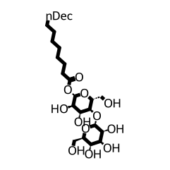 CCCCCCCCCCCCCCCCCC(=O)O[C@@H]1O[C@H](CO)[C@@H](O[C@H]2O[C@H](CO)[C@@H](O)[C@H](O)[C@H]2O)[C@H](O)[C@H]1O